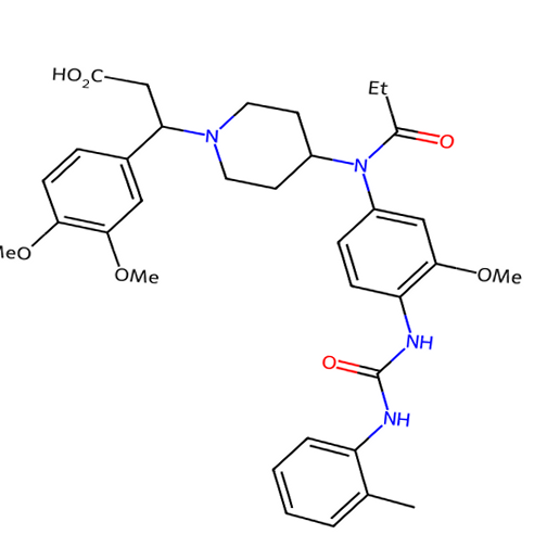 CCC(=O)N(c1ccc(NC(=O)Nc2ccccc2C)c(OC)c1)C1CCN(C(CC(=O)O)c2ccc(OC)c(OC)c2)CC1